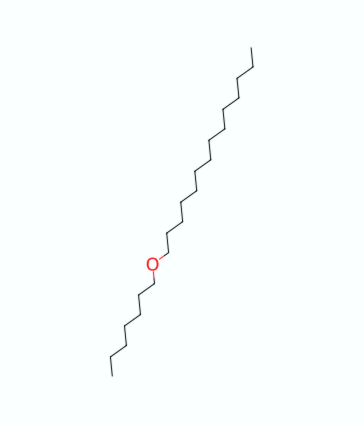 CCCCCCCCCCCCCCOCCCCCCC